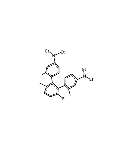 CCN(CC)c1ccc(-c2c(C)ccc(F)c2-c2ccc(N(CC)CC)cc2C)c(C)c1